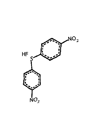 F.O=[N+]([O-])c1ccc(Sc2ccc([N+](=O)[O-])cc2)cc1